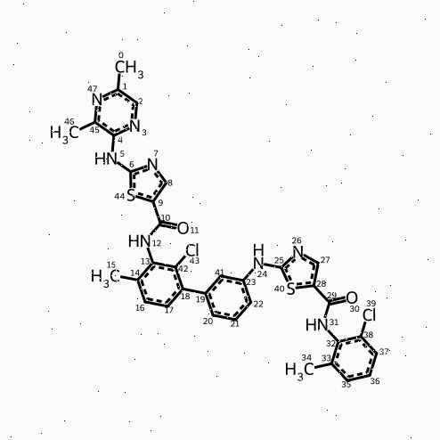 Cc1cnc(Nc2ncc(C(=O)Nc3c(C)ccc(-c4cccc(Nc5ncc(C(=O)Nc6c(C)cccc6Cl)s5)c4)c3Cl)s2)c(C)n1